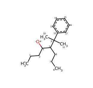 CCCC([O])C(CCC)C(C)(C)c1ccccc1